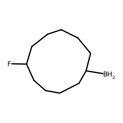 BC1CCCCCC(F)CCCC1